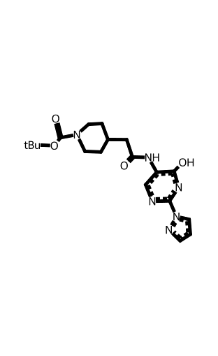 CC(C)(C)OC(=O)N1CCC(CC(=O)Nc2cnc(-n3cccn3)nc2O)CC1